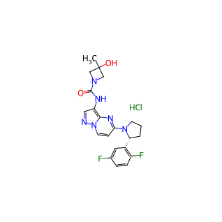 CC1(O)CN(C(=O)Nc2cnn3ccc(N4CCC[C@@H]4c4cc(F)ccc4F)nc23)C1.Cl